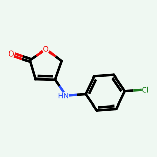 O=C1C=C(Nc2ccc(Cl)cc2)CO1